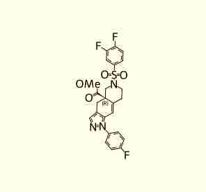 COC(=O)[C@]12Cc3cnn(-c4ccc(F)cc4)c3C=C1CCN(S(=O)(=O)c1ccc(F)c(F)c1)C2